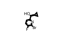 OC(=C1CC1)c1ccc(F)c(Br)n1